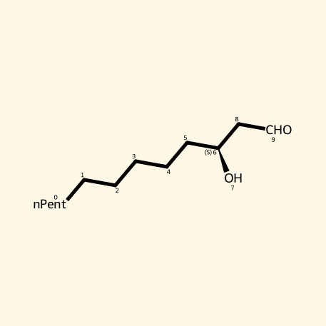 CCCCCCCCCC[C@H](O)CC=O